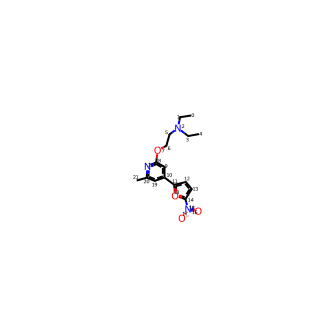 CCN(CC)CCOc1cc(-c2ccc([N+](=O)[O-])o2)cc(C)n1